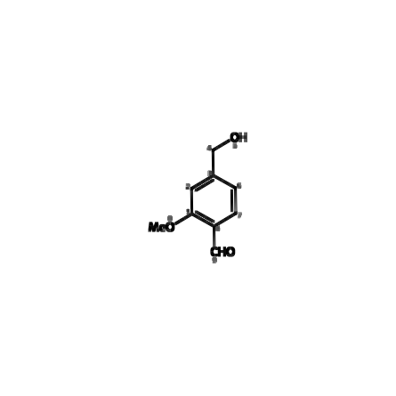 COc1cc(CO)ccc1C=O